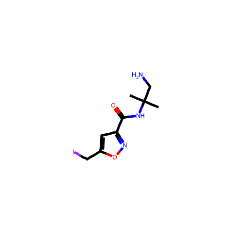 CC(C)(CN)NC(=O)c1cc(CI)on1